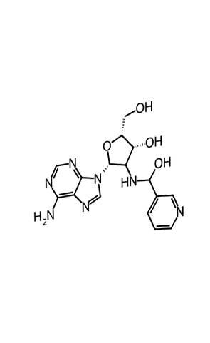 Nc1ncnc2c1ncn2[C@@H]1O[C@H](CO)[C@H](O)C1NC(O)c1cccnc1